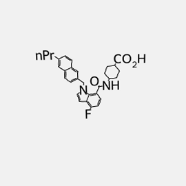 CCCc1ccc2cc(Cn3ccc4c(F)ccc(C(=O)NC5CCC(C(=O)O)CC5)c43)ccc2c1